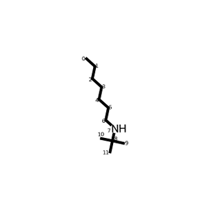 CCCCCCCNC(C)(C)C